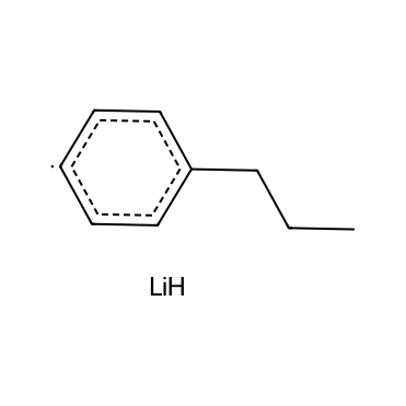 CCCc1cc[c]cc1.[LiH]